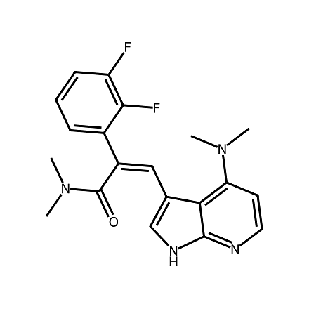 CN(C)C(=O)C(=Cc1c[nH]c2nccc(N(C)C)c12)c1cccc(F)c1F